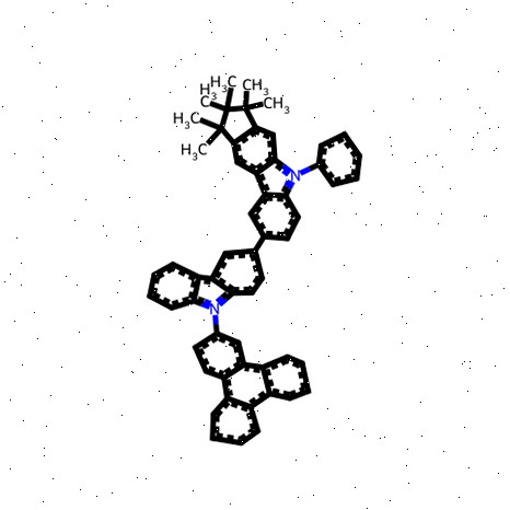 CC1(C)c2cc3c4cc(-c5ccc6c(c5)c5ccccc5n6-c5ccc6c7ccccc7c7ccccc7c6c5)ccc4n(-c4ccccc4)c3cc2C(C)(C)C1(C)C